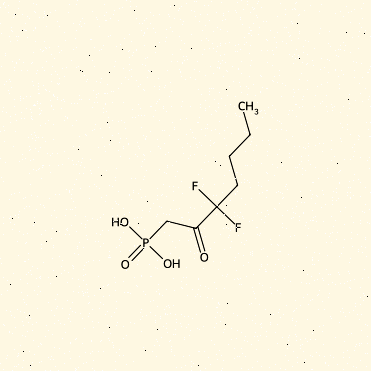 CCCCC(F)(F)C(=O)CP(=O)(O)O